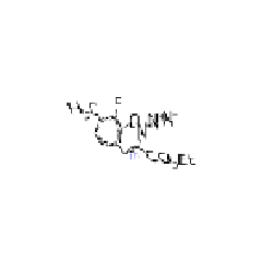 CCOC(=O)/C(=C/c1ccc(C)c(F)c1Cl)N=[N+]=[N-]